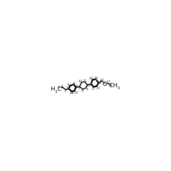 C=CCc1ccc(C2CCC(c3ccc(COCC)cc3)CC2)cc1